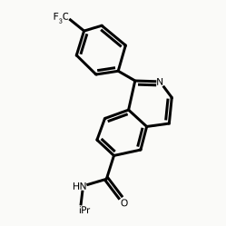 CC(C)NC(=O)c1ccc2c(-c3ccc(C(F)(F)F)cc3)nccc2c1